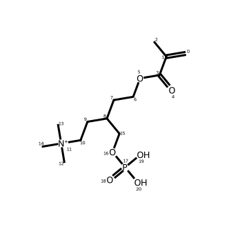 C=C(C)C(=O)OCCC(CC[N+](C)(C)C)COP(=O)(O)O